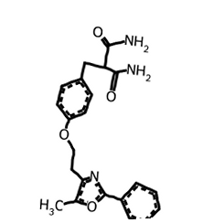 Cc1oc(-c2ccccc2)nc1CCOc1ccc(CC(C(N)=O)C(N)=O)cc1